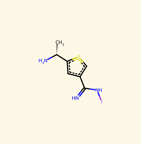 C[C@@H](N)c1cc(C(=N)NI)cs1